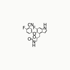 N#Cc1cc(Oc2c(F)cc3[nH]ccc3c2CC2CNC(=O)O2)ccc1F